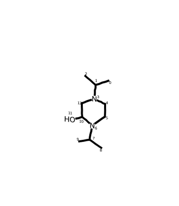 CC(C)N1CCN(C(C)C)C(O)C1